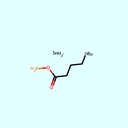 CCCCCCCC(=O)OP.[SnH2]